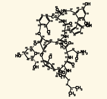 CC(C)CCC(=O)NC1C(=O)NC(CC(N)=O)C(=O)NC2C(=O)N[C@H]3C(=O)N[C@@H](Cc4ccc(c(Cl)c4)Oc4cc2cc(c4O[C@H]2C[C@@H](O)C[C@@H](CO)O2)Oc2ccc(cc2Cl)[C@H]1O)C(=O)NCc1cc(O)cc(O)c1-c1cc3ccc1O